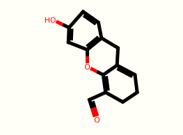 O=CC1=C2Oc3cc(O)ccc3CC2=CCC1